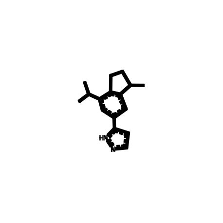 CC(C)c1cc(-c2ccn[nH]2)cc2c1CCC2C